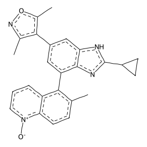 Cc1ccc2c(ccc[n+]2[O-])c1-c1cc(-c2c(C)noc2C)cc2[nH]c(C3CC3)nc12